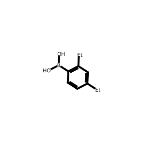 CCc1ccc(B(O)O)c(CC)c1